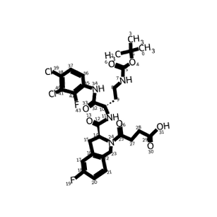 CC(C)(C)OC(=O)NCC[C@H](NC(=O)[C@@H]1Cc2cc(F)ccc2CN1C(=O)CCC(=O)O)C(=O)Nc1ccc(Cl)c(Cl)c1F